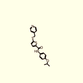 CC(C)Oc1ccc(NC(=O)c2ccc(SCc3ccncc3)s2)cc1